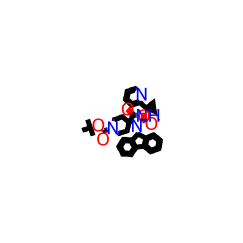 COC(=O)N(C1c2ccccc2-c2ccccc21)C1(C(=O)NC2(c3ccccn3)CC2)CCN(C(=O)OC(C)(C)C)CC1